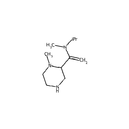 C=C(C1CNCCN1C)N(C)C(C)C